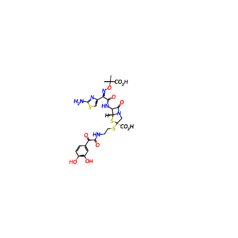 CC(C)(O/N=C(\C(=O)NC1C(=O)N2C[C@](SCCNC(=O)C(=O)c3ccc(O)c(O)c3)(C(=O)O)S[C@H]12)c1csc(N)n1)C(=O)O